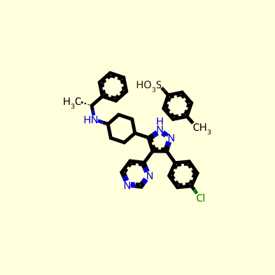 C[C@@H](NC1CCC(c2[nH]nc(-c3ccc(Cl)cc3)c2-c2ccncn2)CC1)c1ccccc1.Cc1ccc(S(=O)(=O)O)cc1